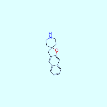 c1ccc2cc3c(cc2c1)CC1(CCNCC1)O3